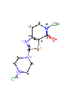 O=C1c2sc(N3CCN(Cl)CC3)nc2CCN1Cl